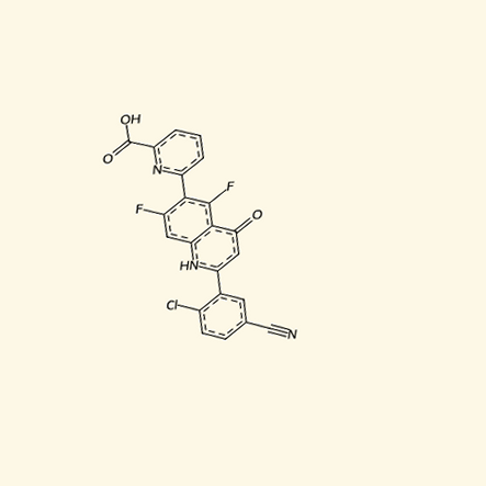 N#Cc1ccc(Cl)c(-c2cc(=O)c3c(F)c(-c4cccc(C(=O)O)n4)c(F)cc3[nH]2)c1